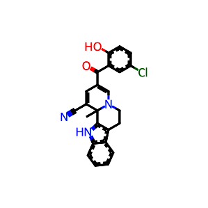 CC12C(C#N)=CC(C(=O)c3cc(Cl)ccc3O)=CN1CCc1c2[nH]c2ccccc12